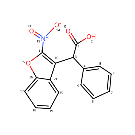 O=C(O)C(c1ccccc1)c1c([N+](=O)[O-])oc2ccccc12